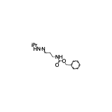 CC(C)NN=CCCNC(=O)OCc1ccccc1